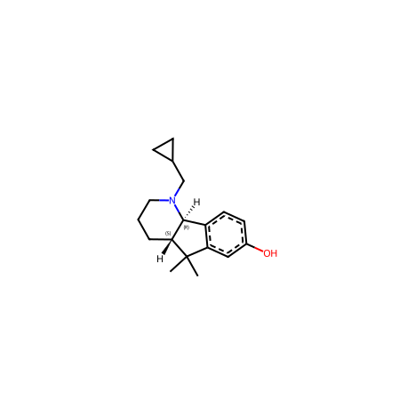 CC1(C)c2cc(O)ccc2[C@H]2[C@H]1CCCN2CC1CC1